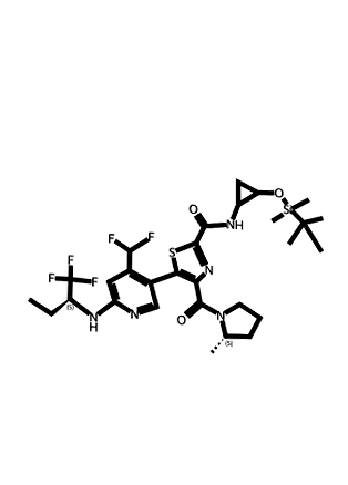 CC[C@H](Nc1cc(C(F)F)c(-c2sc(C(=O)NC3CC3O[Si](C)(C)C(C)(C)C)nc2C(=O)N2CCC[C@@H]2C)cn1)C(F)(F)F